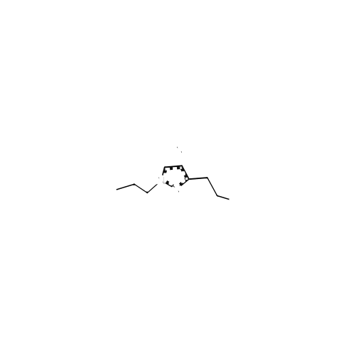 CCCc1ccn(CCC)n1.N